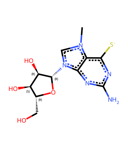 Cn1c[n+]([C@@H]2O[C@H](CO)[C@@H](O)[C@H]2O)c2nc(N)nc([S-])c21